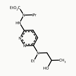 CCOC(=O)N(Nc1ccc(N(CC)CC(C)O)nn1)C(C)C